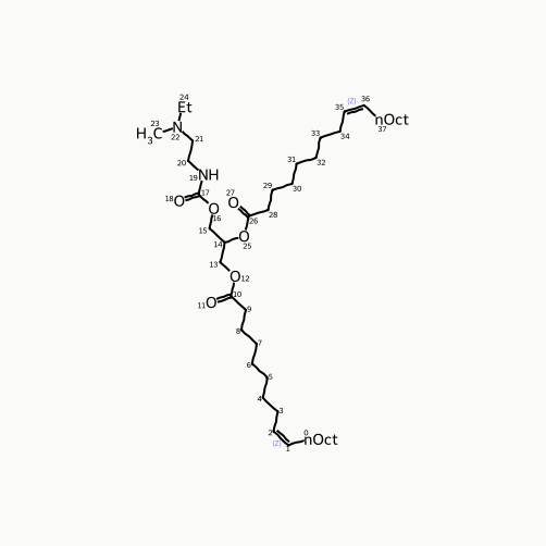 CCCCCCCC/C=C\CCCCCCCC(=O)OCC(COC(=O)NCCN(C)CC)OC(=O)CCCCCCC/C=C\CCCCCCCC